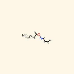 C/C=C\C=NOC(C)CC(=O)O